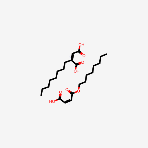 CCCCCCCC/C(=C/C(=O)O)C(=O)O.CCCCCCCCOC(=O)/C=C\C(=O)O